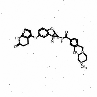 CN1CCN(Cc2ccc(C(=O)N[C@@H]3C4Oc5ccc(Oc6ccnc7c6CCC(=O)N7)cc5[C@H]43)cc2C(F)(F)F)CC1